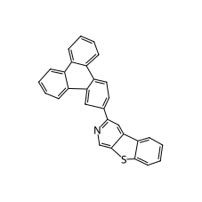 c1ccc2c(c1)sc1cnc(-c3ccc4c5ccccc5c5ccccc5c4c3)cc12